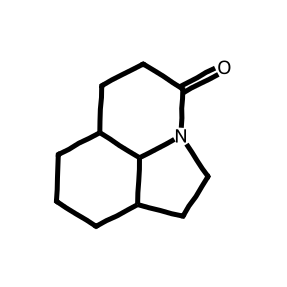 O=C1CCC2CCCC3CCN1C23